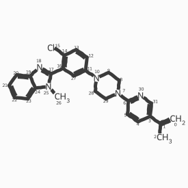 C=C(C)c1ccc(N2CCN(c3ccc(Cl)c(-c4nc5ccccc5n4C)c3)CC2)nc1